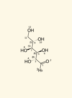 [2H]C(=O)[C@H](O)[C@H](O)[C@@H](O)[C@@H](O)CO